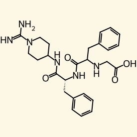 N=C(N)N1CCC(NC(=O)[C@@H](Cc2ccccc2)NC(=O)C(Cc2ccccc2)NCC(=O)O)CC1